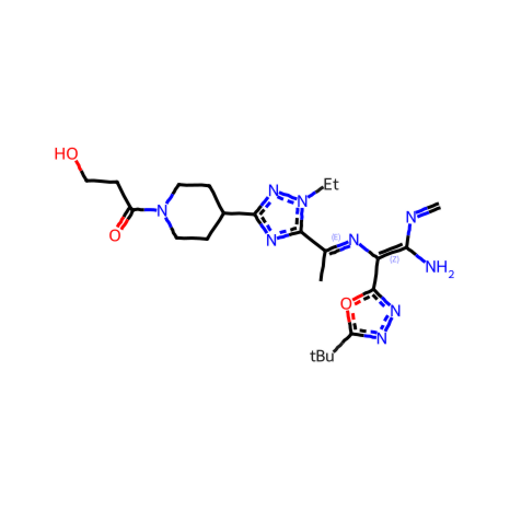 C=N/C(N)=C(\N=C(/C)c1nc(C2CCN(C(=O)CCO)CC2)nn1CC)c1nnc(C(C)(C)C)o1